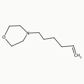 C=CCCCCN1CCOCC1